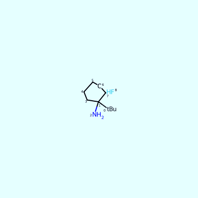 CC(C)(C)C1(N)CCCCC1.F